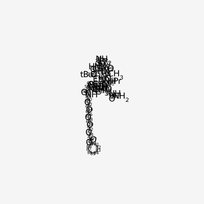 CC[C@H](NC(=O)[C@H](C)NC(=O)[C@H](CC(C)C)NC(=O)[C@H](CC(=O)OC(C)(C)C)NC(=O)CN)C(=O)N[C@@H](CC(C)C)C(=O)N[C@@H](CCCNC(N)=O)C(=O)NC(C)(C)C(=O)N[C@@H](CC(C)C)C(=O)NCCOCCOCCOCCOCCOCCC(=O)OC1CCCCCCCCC1